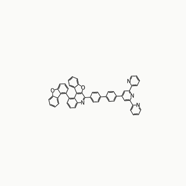 c1ccc(-c2cc(-c3ccc(-c4ccc(-c5nc6cccc(-c7cccc8oc9ccccc9c78)c6c6c5oc5ccccc56)cc4)cc3)cc(-c3ccccn3)n2)nc1